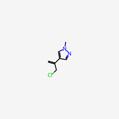 C=C(CCl)c1cnn(C)c1